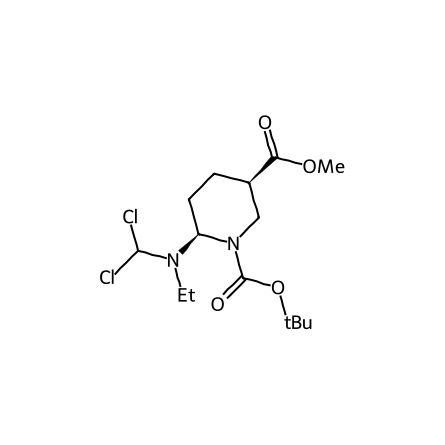 CCN(C(Cl)Cl)[C@H]1CC[C@@H](C(=O)OC)CN1C(=O)OC(C)(C)C